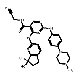 C#CCNC(=O)c1cnc(Nc2ccc(N3CCN(C)CC3)cc2)nc1Nc1ccc2c(n1)[C@@](C)(O)CC2